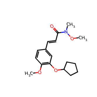 COc1ccc(/C=C/C(=O)N(C)OC)cc1OC1CCCC1